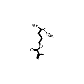 C=C(C)C(=O)OCCCC(CC)OCCCC